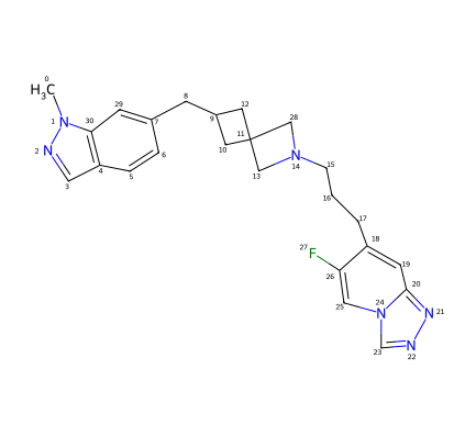 Cn1ncc2ccc(CC3CC4(C3)CN(CCCc3cc5nncn5cc3F)C4)cc21